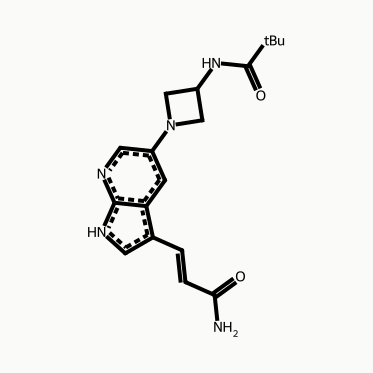 CC(C)(C)C(=O)NC1CN(c2cnc3[nH]cc(C=CC(N)=O)c3c2)C1